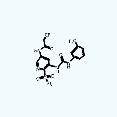 CCS(=O)(=O)c1ncc(NC(=O)CC(F)(F)F)cc1NC(=O)Nc1cccc(C(F)(F)F)c1